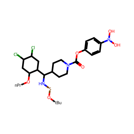 CCCOC1CC(Cl)C(Cl)CC1C(NSOC(C)(C)C)C1CCN(C(=O)Oc2ccc(N(O)O)cc2)CC1